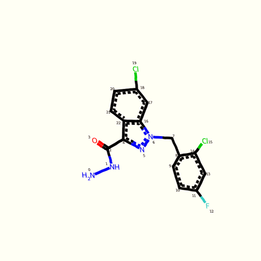 NNC(=O)c1nn(Cc2ccc(F)cc2Cl)c2cc(Cl)ccc12